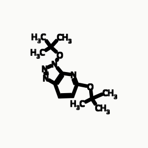 CC(C)(C)Oc1ccc2nnn(OC(C)(C)C)c2n1